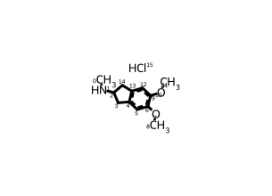 CNC1Cc2cc(OC)c(OC)cc2C1.Cl